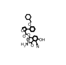 N#Cc1c(O)ccc(C(=O)OC(=O)c2occc2-c2ccccc2OCC2CCCCC2)c1C(=O)NN